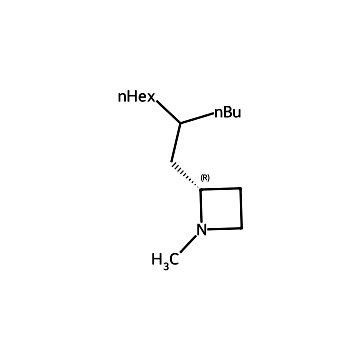 CCCCCCC(CCCC)C[C@@H]1CCN1C